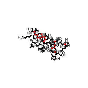 CC(C)C[C@H](NC(=O)[C@H](CCCCN)NC(=O)[C@H](CC(C)C)NC(=O)[C@@H]1CCCN1C(=O)[C@H](CC(N)=O)NC(=O)[C@@H]1CCCN1C(=O)[C@H](Cc1c[nH]cn1)NC(=O)[C@H](CO)NC(=O)[C@H](Cc1c[nH]cn1)NC(=O)[C@H](CO)NC(=O)[C@H](CC(N)=O)NC(=O)[C@@H](N)CO)C(=O)N[C@@H](Cc1c[nH]cn1)C(=O)N[C@@H](CCCNC(=N)N)C(=O)N[C@@H](CCCNC(=N)N)C(=O)O